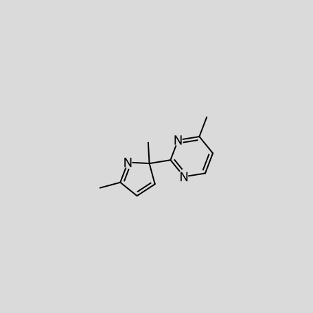 CC1=NC(C)(c2nccc(C)n2)C=C1